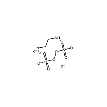 NCCN.O=S(=O)([O-])OOS(=O)(=O)[O-].[K+].[K+]